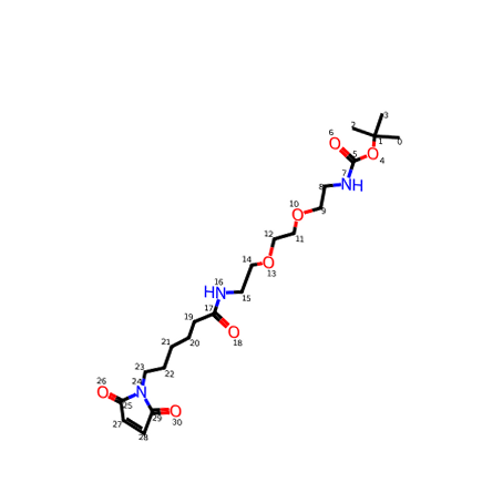 CC(C)(C)OC(=O)NCCOCCOCCNC(=O)CCCCCN1C(=O)C=CC1=O